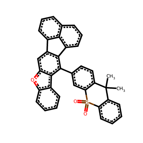 CC1(C)c2ccccc2S(=O)(=O)c2cc(-c3c4c(cc5oc6ccccc6c35)-c3cccc5cccc-4c35)ccc21